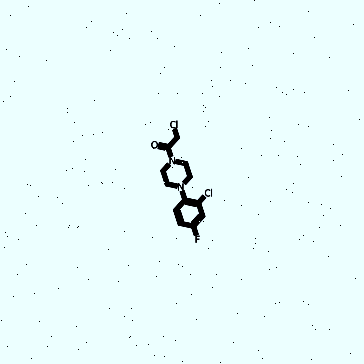 O=C(CCl)N1CCN(c2ccc(F)cc2Cl)CC1